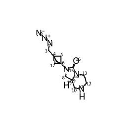 [N-]=[N+]=NCC12CC(N3C[C@H]4CNCCN4C3=O)(C1)C2